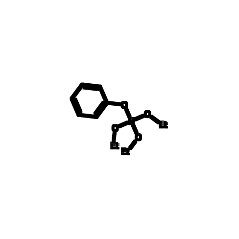 CCO[Si](OCC)(OCC)Oc1ccccc1